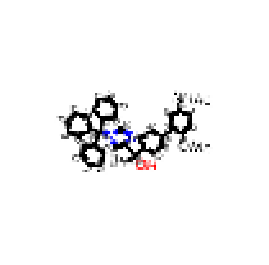 COc1ccc(NC(C)=O)cc1-c1ccc(C(O)(c2cn(C(c3ccccc3)(c3ccccc3)c3ccccc3)cn2)C(C)C)cc1